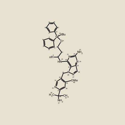 CCCC(CCO[Si](c1ccccc1)(c1ccccc1)C(C)(C)C)Nc1nc(N)nc2cnn(Cc3cnc(C(C)(C)N)cc3OC)c12